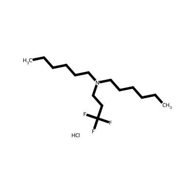 CCCCCCN(CCCCCC)CCC(F)(F)F.Cl